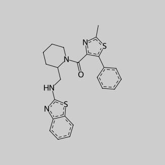 Cc1nc(C(=O)N2CCCCC2CNc2nc3ccccc3s2)c(-c2ccccc2)s1